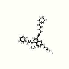 COCCc1nc(N)c2c(n1)c(C#CCCCCN1CCCCC1)cn2COCc1ccccc1